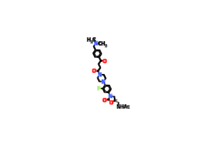 CC(=O)NC[C@H]1CN(c2ccc(N3CCN(C(=O)CCC(=O)c4ccc(CN(C)C)cc4)CC3)c(F)c2)C(=O)O1